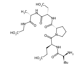 CC[C@H](C)[C@H](N)C(=O)N[C@@H](CCC(=O)O)C(=O)N1CCC[C@H]1C(=O)N[C@@H](CC(=O)O)C(=O)N[C@@H](C)C(=O)NCC(=O)O